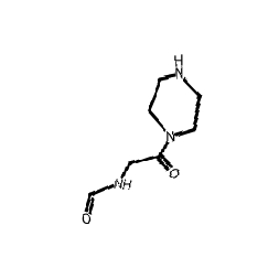 O=CNCC(=O)N1CCNCC1